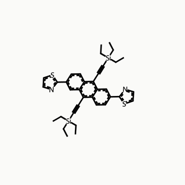 CC[Si](C#Cc1c2ccc(-c3nccs3)cc2c(C#C[Si](CC)(CC)CC)c2ccc(-c3nccs3)cc12)(CC)CC